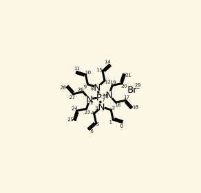 C=CCN(CC=C)[P+](N(CC=C)CC=C)(N(CC=C)CC=C)N(CC=C)CC=C.[Br-]